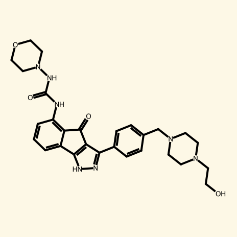 O=C(Nc1cccc2c1C(=O)c1c(-c3ccc(CN4CCN(CCO)CC4)cc3)n[nH]c1-2)NN1CCOCC1